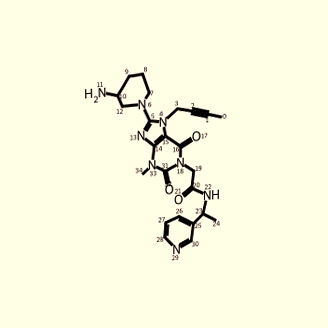 CC#CCn1c(N2CCCC(N)C2)nc2c1c(=O)n(CC(=O)NC(C)c1cccnc1)c(=O)n2C